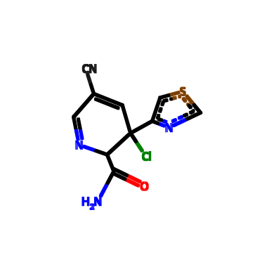 N#CC1=CC(Cl)(c2cscn2)C(C(N)=O)N=C1